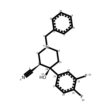 N#C[C@H]1CN(Cc2ccccc2)CC[C@]1(O)c1ccc(F)c(F)c1